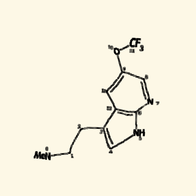 CNCCc1c[nH]c2ncc(OC(F)(F)F)cc12